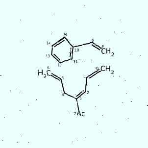 C=CC=C(CC=C)C(C)=O.C=Cc1ccccc1